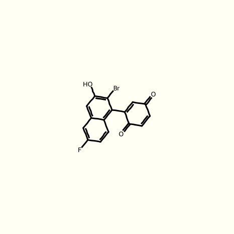 O=C1C=CC(=O)C(c2c(Br)c(O)cc3cc(F)ccc23)=C1